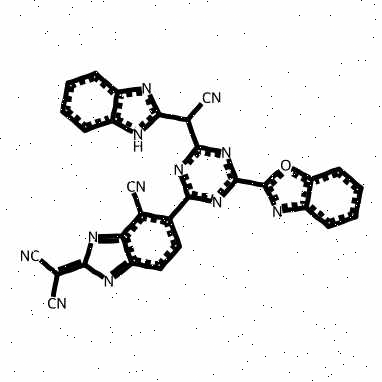 N#CC(C#N)=C1N=c2ccc(-c3nc(-c4nc5ccccc5o4)nc(C(C#N)c4nc5ccccc5[nH]4)n3)c(C#N)c2=N1